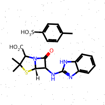 CC1(C)S[C@H]2C(Nc3nc4ccccc4[nH]3)C(=O)N2C1C(=O)O.Cc1ccc(S(=O)(=O)O)cc1